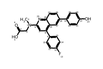 CN(CC(=O)O)c1cc(-c2ccc(F)cc2)c2cc(-c3ccc(O)cc3)ccc2n1